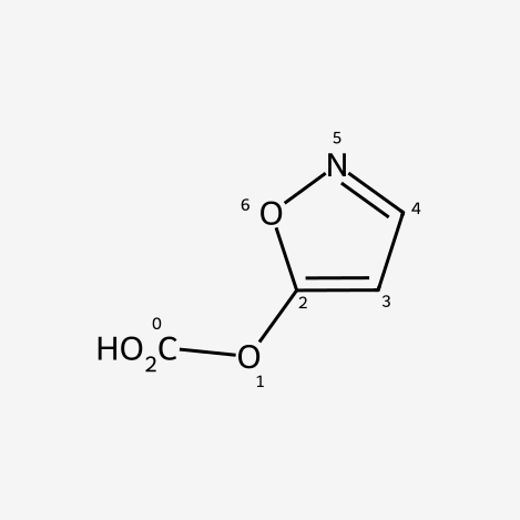 O=C(O)Oc1ccno1